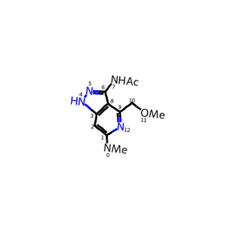 CNc1cc2[nH]nc(NC(C)=O)c2c(COC)n1